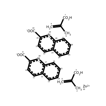 C=C(C)C(=O)O.C=C(C)C(=O)O.O=C([O-])c1ccc2ccccc2n1.O=C([O-])c1ccc2ccccc2n1.[Zn+2]